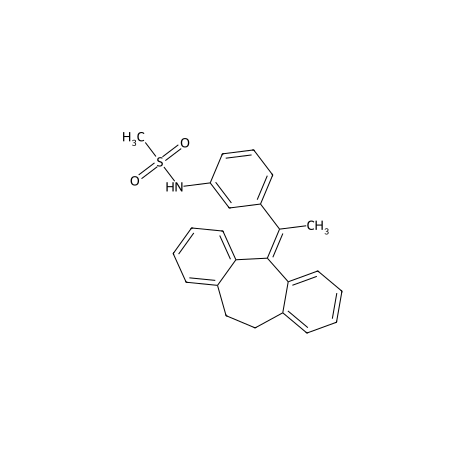 CC(=C1c2ccccc2CCc2ccccc21)c1cccc(NS(C)(=O)=O)c1